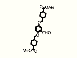 COC(=O)C1CCC(COc2ccc(OCC3CCC(C(=O)OC)CC3)c(C=O)c2)CC1